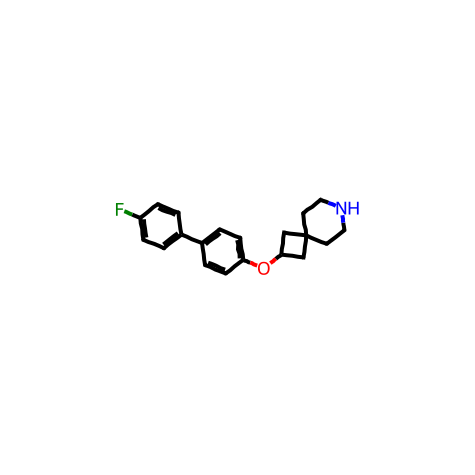 Fc1ccc(-c2ccc(OC3CC4(CCNCC4)C3)cc2)cc1